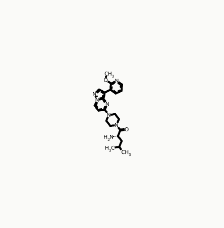 COc1ncccc1-c1cnn2ccc(N3CCN(C(=O)[C@@H](N)CC(C)C)CC3)nc12